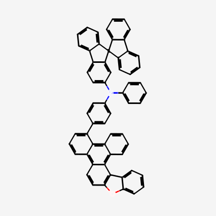 c1ccc(N(c2ccc(-c3cccc4c5ccc6oc7ccccc7c6c5c5ccccc5c34)cc2)c2ccc3c(c2)C2(c4ccccc4-c4ccccc42)c2ccccc2-3)cc1